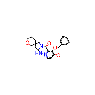 O=C1c2c(OCc3ccccc3)c(=O)ccn2NC2CC3(CCCOC3)CN12